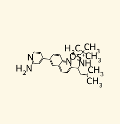 CC(C)CC(N[S+]([O-])C(C)(C)C)c1ccc2cc(-c3ccnc(N)c3)ccc2n1